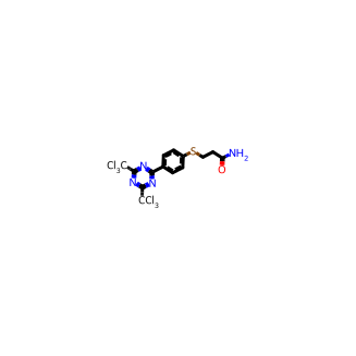 NC(=O)CCSc1ccc(-c2nc(C(Cl)(Cl)Cl)nc(C(Cl)(Cl)Cl)n2)cc1